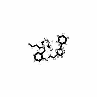 CCCC[N+]1(Cc2ccccc2OCCc2coc(-c3ccccc3)n2)C=NNC1=O